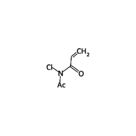 C=CC(=O)N(Cl)C(C)=O